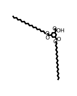 CCCCCCCCCCCCCCCCCCOC(=O)C1CC(C(=O)O)CC(C(=O)OCCCCCCCCCCCCCCCCCC)C1